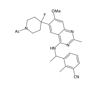 COc1cc2nc(C)nc(NC(C)c3cccc(C#N)c3C)c2cc1C1(F)CCN(C(C)=O)CC1